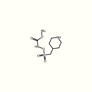 CC(C)(C)OC(=O)NOS(=O)(=O)CC1CCNCC1